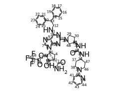 NC(=O)[C@H]1C[C@@H](n2cnc3c(NCC(c4ccccc4)c4ccccc4)nc(N4CC[C@@H](NC(=O)NC5CCN(c6ccccn6)CC5)C4)nc32)[C@H](OC(=O)C(F)(F)F)[C@@H]1O